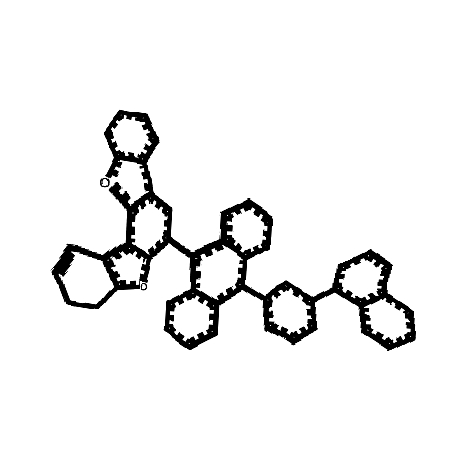 C1=Cc2c(oc3c(-c4c5ccccc5c(-c5cccc(-c6cccc7ccccc67)c5)c5ccccc45)cc4c5ccccc5oc4c23)CC1